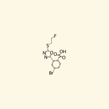 O=S(=O)(O)c1ccc(Br)cc1-c1nnc(SCCF)o1